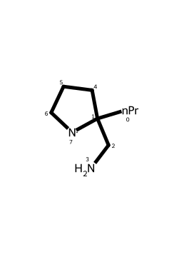 CCCC1(CN)CCC[N]1